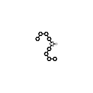 Clc1nc(-c2ccc(-c3cccc(-c4cccc(-c5ccccc5)c4)c3)cc2)nc(-c2ccc(-c3cccc(-c4cccc(-c5ccccc5)c4)c3)cc2)n1